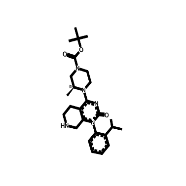 CC(C)c1ccccc1-n1c2c(c(N3CCN(C(=O)OC(C)(C)C)C[C@@H]3C)nc1=O)CCNC2